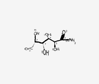 NC(=O)[C@@H](O)[C@@H](O)[C@H](O)[C@@H](O)C=O